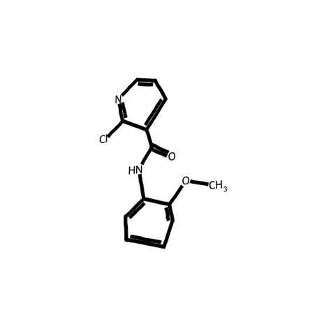 COc1ccccc1NC(=O)c1cccnc1Cl